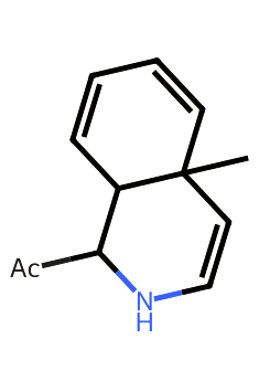 CC(=O)C1NC=CC2(C)C=CC=CC12